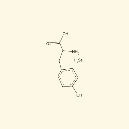 NC(Cc1ccc(O)cc1)C(=O)O.[SeH2]